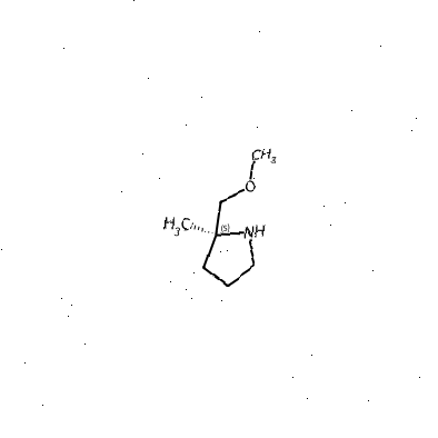 COC[C@]1(C)CCCN1